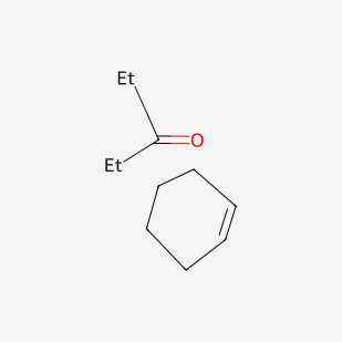 C1=CCCCC1.CCC(=O)CC